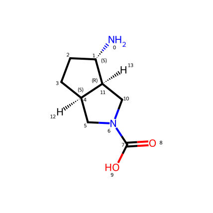 N[C@H]1CC[C@@H]2CN(C(=O)O)C[C@@H]21